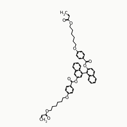 C=CC(=O)OCCCCCCOc1ccc(C(=O)Oc2cc(-c3c(OC(=O)c4ccc(OCCCCCCOC(=O)C=C)cc4)ccc4ccccc34)c3ccccc3c2)cc1